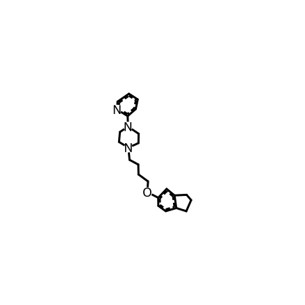 c1ccc(N2CCN(CCCCOc3ccc4c(c3)CCC4)CC2)nc1